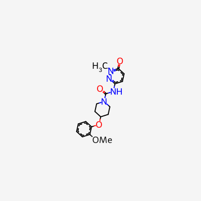 COc1ccccc1OC1CCN(C(=O)Nc2ccc(=O)n(C)n2)CC1